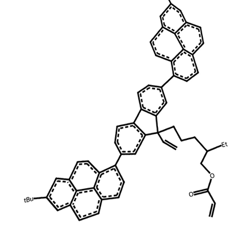 C=CC(=O)OCC(CC)CCCC1(C=C)c2cc(-c3ccc4ccc5cc(C(C)(C)C)cc6ccc3c4c56)ccc2-c2ccc(-c3ccc4ccc5cc(C(C)(C)C)cc6ccc3c4c56)cc21